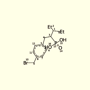 CCC(CC)C(Cc1ccc(CBr)cc1)P(=O)(O)O